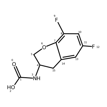 O=C(O)NC1COc2c(F)cc(F)cc2C1